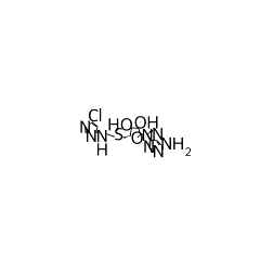 Nc1ncnc2c1ncn2[C@H]1O[C@@H](CSCCNc2cc(Cl)ncn2)[C@H](O)[C@@H]1O